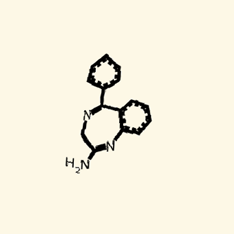 NC1=Nc2ccccc2C(c2ccccc2)=NC1